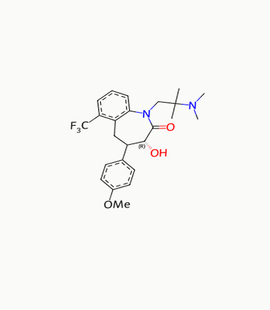 COc1ccc(C2Cc3c(cccc3C(F)(F)F)N(CC(C)(C)N(C)C)C(=O)[C@@H]2O)cc1